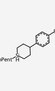 CCCCC[SiH]1CCC(c2ccc(F)cc2)CC1